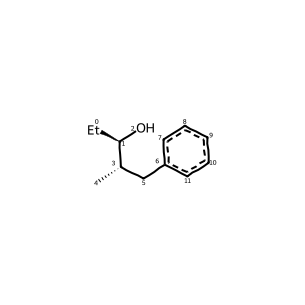 CC[C@@H](O)[C@@H](C)Cc1ccccc1